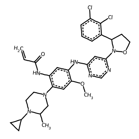 C=CC(=O)Nc1cc(Nc2cc(N3OCCC3c3cccc(Cl)c3Cl)ncn2)c(OC)cc1N1CCN(C2CC2)C(C)C1